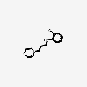 Clc1c[c]ccc1NCCCN1C=COC=C1